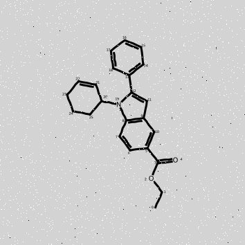 CCOC(=O)c1ccc2c(c1)cc(-c1ccccc1)n2C1C=CCCC1